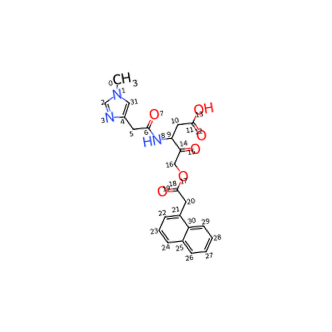 Cn1cnc(CC(=O)NC(CC(=O)O)C(=O)COC(=O)Cc2cccc3ccccc23)c1